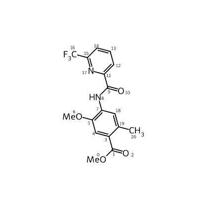 COC(=O)c1cc(OC)c(NC(=O)c2cccc(C(F)(F)F)n2)cc1C